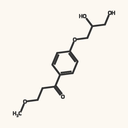 COCCC(=O)c1ccc(OCC(O)CO)cc1